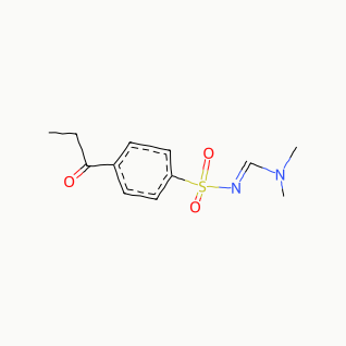 CCC(=O)c1ccc(S(=O)(=O)N=CN(C)C)cc1